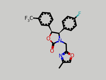 Cc1coc(CN2C(=O)O[C@@H](c3cccc(C(F)(F)F)c3)[C@H]2c2ccc(F)cc2)n1